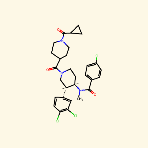 CN(C(=O)c1ccc(Cl)cc1)[C@@H]1CCN(C(=O)C2CCN(C(=O)C3CC3)CC2)C[C@H]1c1ccc(Cl)c(Cl)c1